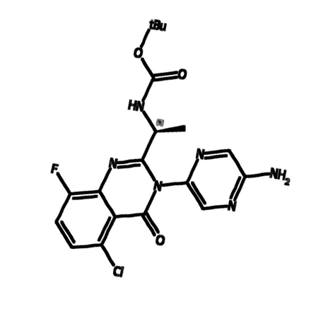 C[C@H](NC(=O)OC(C)(C)C)c1nc2c(F)ccc(Cl)c2c(=O)n1-c1cnc(N)cn1